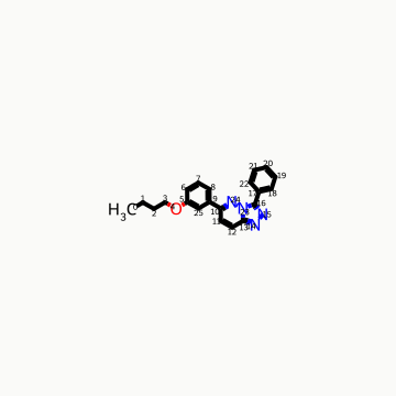 CCCCOc1cccc(-c2ccc3nnc(-c4ccccc4)n3n2)c1